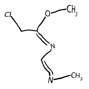 C/N=C\N=C(/CCl)OC